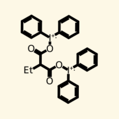 CCC(C(=O)O[I+](c1ccccc1)c1ccccc1)C(=O)O[I+](c1ccccc1)c1ccccc1